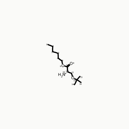 CCCCCCOC(=O)[C@@H](N)COC(C)(C)C